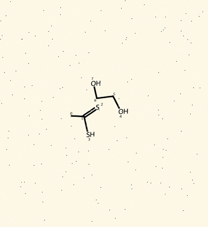 CC(=S)S.OCCO